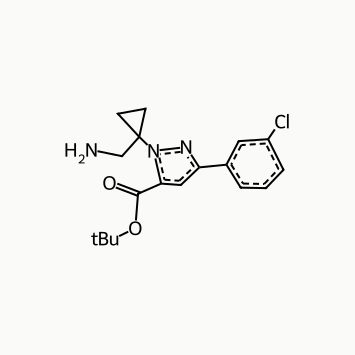 CC(C)(C)OC(=O)c1cc(-c2cccc(Cl)c2)nn1C1(CN)CC1